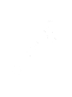 CSc1nn2c(-c3nc4ccc(OCc5ccccc5)cc4o3)cnc2s1